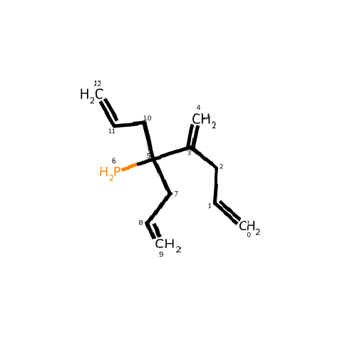 C=CCC(=C)C(P)(CC=C)CC=C